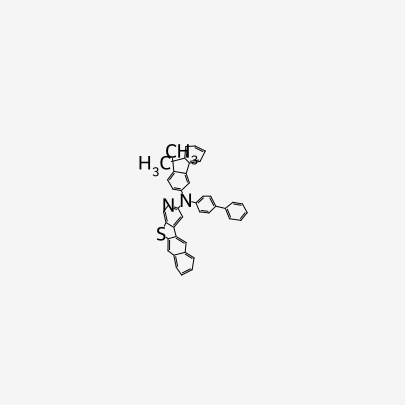 CC1(C)c2ccccc2-c2cc(N(c3ccc(-c4ccccc4)cc3)c3cc4c(cn3)sc3cc5ccccc5cc34)ccc21